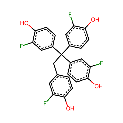 Oc1ccc(CC(c2ccc(O)c(F)c2)(c2ccc(O)c(F)c2)c2ccc(O)c(F)c2)cc1F